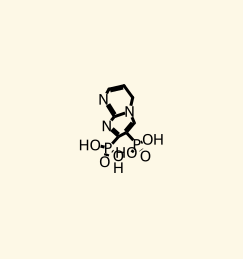 O=P(O)(O)C1=CN2CC=CN=C2N=C1P(=O)(O)O